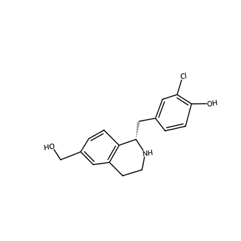 OCc1ccc2c(c1)CCN[C@H]2Cc1ccc(O)c(Cl)c1